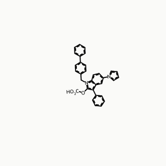 O=C(O)Oc1c(-c2ccccc2)c2cc(-n3cccc3)ccc2n1Cc1ccc(-c2ccccc2)cc1